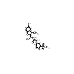 CC1c2cc(F)ccc2OC1[C@@H](NC(=O)Nc1ccc(Cl)c(S(C)(=O)=O)c1)C(C)C